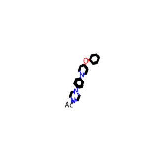 CC(=O)N1CCN(c2ccc(N3CCC(OC4CCCCC4)CC3)cc2)CC1